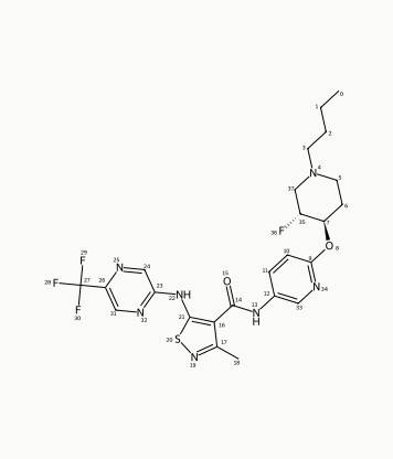 CCCCN1CC[C@@H](Oc2ccc(NC(=O)c3c(C)nsc3Nc3cnc(C(F)(F)F)cn3)cn2)[C@H](F)C1